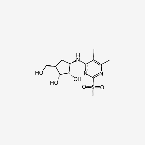 Cc1nc(S(C)(=O)=O)nc(N[C@@H]2C[C@H](CO)[C@@H](O)[C@H]2O)c1I